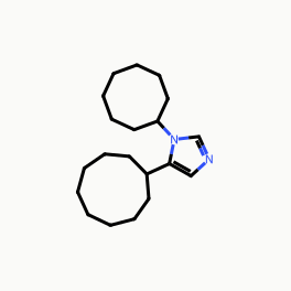 c1ncn(C2CCCCCCC2)c1C1CCCCCCCC1